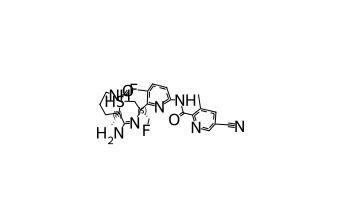 Cc1cc(C#N)cnc1C(=O)Nc1ccc(F)c([C@]2(CF)C[SH]3(=O)NCCC[C@]3(C)C(N)=N2)n1